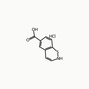 Cl.O=C(O)c1ccc2c(c1)C=CNS2